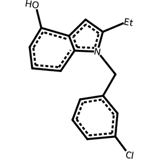 CCc1cc2c(O)cccc2n1Cc1cccc(Cl)c1